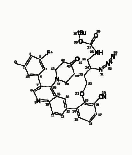 Cc1cc(F)cc(-c2cnc3ccc(-c4cccc(C#N)c4OCCC(CNC(=O)OC(C)(C)C)N=[N+]=[N-])cc3c2N2CCC(=O)CC2)c1